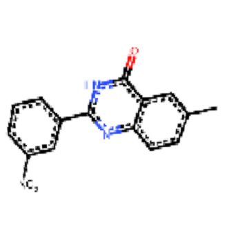 Cc1ccc2nc(-c3cccc([N+](=O)[O-])c3)[nH]c(=O)c2c1